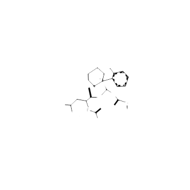 CNC(=O)OC(OC(=O)C(CC(C)C)NC(C)=O)[C@]1(c2ccccc2Cl)CCCCC1=O